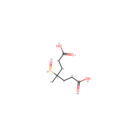 CC(CCC(=O)O)(CCC(=O)O)P=O